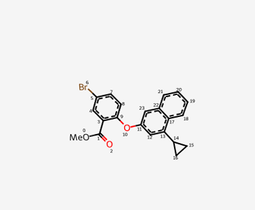 COC(=O)c1cc(Br)ccc1Oc1cc(C2CC2)c2ccccc2c1